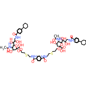 CC(=O)N[C@@H]1[C@H]([C@H](O)[C@@H](O)CNC(=O)c2ccc(C3CCCCC3)cc2)O[C@@](OCCCSCCNC(=O)c2ccc(C(=O)NCCSCCCO[C@]3(C(=O)O)C[C@H](O)[C@@H](NC(C)=O)[C@H]([C@H](O)[C@H](O)CNC(=O)c4ccc(C5CCCCC5)cc4)O3)cc2)(C(=O)O)C[C@@H]1O